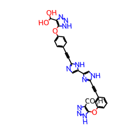 O=C(O)c1nn[nH]c1Oc1cccc(C#Cc2nc(-c3cnc(C#Cc4ccc(Oc5[nH]nnc5C(O)O)cc4)[nH]3)c[nH]2)c1